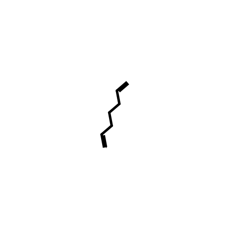 [CH]=CCCCC=C